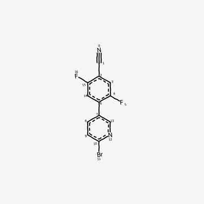 N#Cc1cc(F)c(-c2ccc(Br)nc2)cc1F